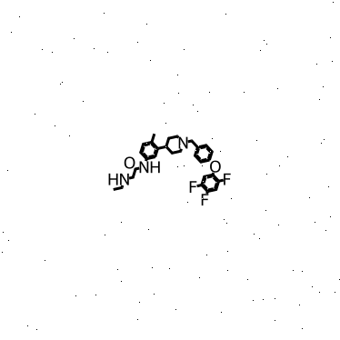 CCNCC(=O)Nc1ccc(C)c(C2CCN(Cc3ccc(Oc4cc(F)c(F)cc4F)cc3)CC2)c1